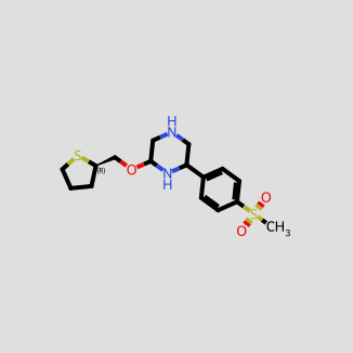 CS(=O)(=O)c1ccc(C2CNCC(OC[C@H]3CCCS3)N2)cc1